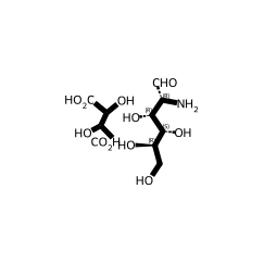 N[C@@H](C=O)[C@@H](O)[C@H](O)[C@H](O)CO.O=C(O)C(O)C(O)C(=O)O